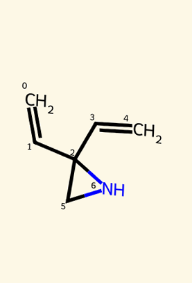 C=CC1(C=C)CN1